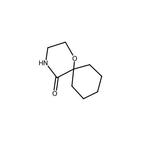 O=C1NCCOC12CCCCC2